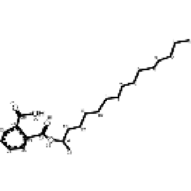 CCCCCCCCCCCCCCC(C)OC(=O)c1ccccc1C(=O)O